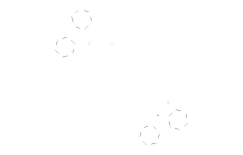 CC(C)(C)[Si](OC(Cl)CCOCCC(Cl)O[Si](c1ccccc1)(c1ccccc1)C(C)(C)C)(c1ccccc1)c1ccccc1